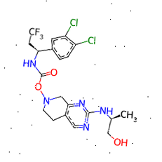 C[C@@H](CO)Nc1ncc2c(n1)CN(OC(=O)N[C@@H](CC(F)(F)F)c1ccc(Cl)c(Cl)c1)CC2